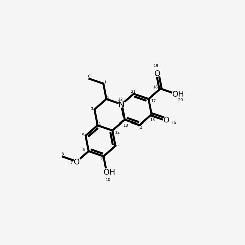 CCC1Cc2cc(OC)c(O)cc2-c2cc(=O)c(C(=O)O)cn21